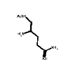 CC(=O)NCC(N)CCC(=N)N